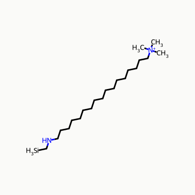 C[N+](C)(C)CCCCCCCCCCCCCCCCCNC[SiH3]